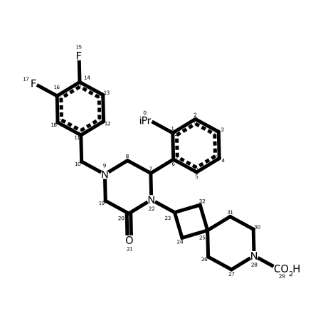 CC(C)c1ccccc1C1CN(Cc2ccc(F)c(F)c2)CC(=O)N1C1CC2(CCN(C(=O)O)CC2)C1